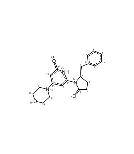 O=C1CC[C@H](Cc2ccccc2)N1c1cc(N2CCOCC2)cc(=O)[nH]1